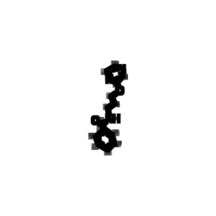 O=C(NCCCOc1cnccn1)c1ccccc1